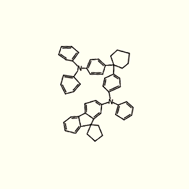 c1ccc(N(c2ccccc2)c2ccc(C3(c4ccc(N(c5ccccc5)c5ccc6c(c5)C5(CCCC5)c5ccccc5-6)cc4)CCCCC3)cc2)cc1